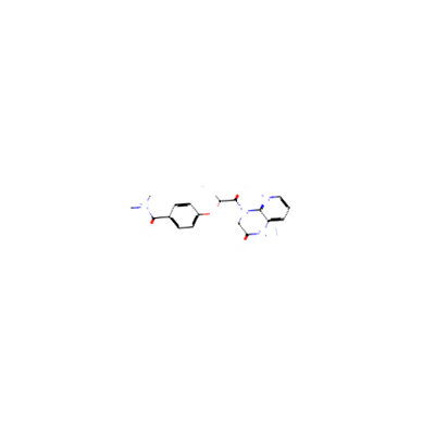 CCC(Oc1ccc(C(=O)N(C)C)cc1)C(=O)N1CC(=O)Nc2cccnc21